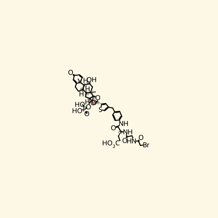 C[C@]12C=CC(=O)C=C1CC[C@@H]1[C@@H]2[C@@H](O)C[C@@]2(C)[C@H]1C[C@H]1O[C@@H](c3cc(Cc4ccc(NC(=O)[C@H](CCC(=O)O)NC(=O)CNC(=O)CBr)cc4)cs3)O[C@]12C(=O)COP(=O)(O)O